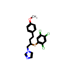 COc1ccc(CCC(Cn2ccnc2)Sc2cc(Cl)c(Cl)cc2Cl)cc1